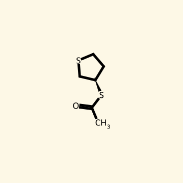 CC(=O)S[C@@H]1CCSC1